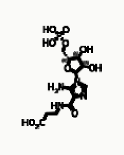 Nc1c(C(=O)NCCC(=O)O)ncn1C1O[C@H](COP(=O)(O)O)[C@@H](O)[C@H]1O